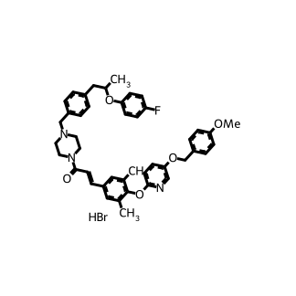 Br.COc1ccc(COc2ccc(Oc3c(C)cc(C=CC(=O)N4CCN(Cc5ccc(CC(C)Oc6ccc(F)cc6)cc5)CC4)cc3C)nc2)cc1